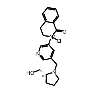 O=C1c2ccccc2CC[N+]1(Cl)c1cncc(CN2CCC[C@@H]2CO)c1